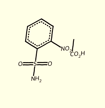 CC(=O)O.NS(=O)(=O)c1ccccc1[N+](=O)[O-]